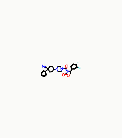 N#CC1(c2ccccc2)CCC(N2CCN(C(=O)N3C(=O)OCC3c3ccc(F)c(F)c3)CC2)CC1